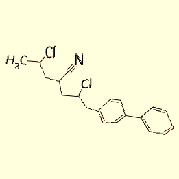 CC(Cl)CC(C#N)CC(Cl)Cc1ccc(-c2ccccc2)cc1